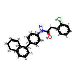 O=C(Cc1ccccc1Cl)Nc1ccc(-c2cccc3c2C=CCC3)cc1